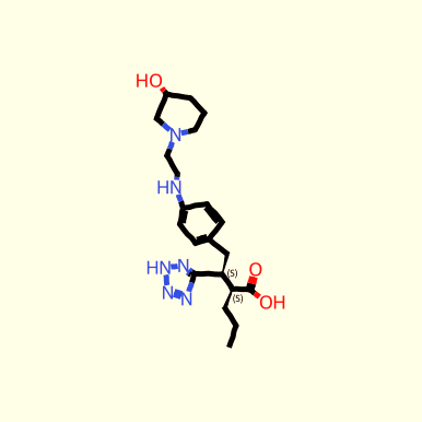 CCC[C@H](C(=O)O)[C@H](Cc1ccc(NCCN2CCCC(O)C2)cc1)c1nn[nH]n1